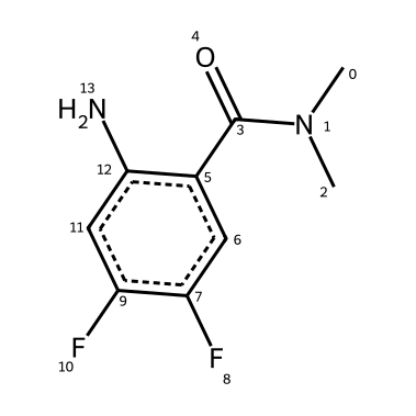 CN(C)C(=O)c1cc(F)c(F)cc1N